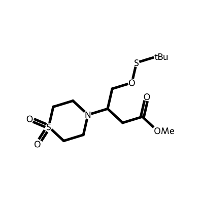 COC(=O)CC(COSC(C)(C)C)N1CCS(=O)(=O)CC1